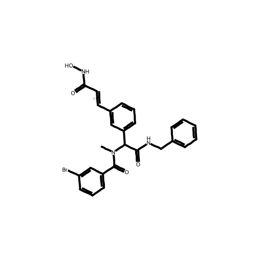 CN(C(=O)c1cccc(Br)c1)C(C(=O)NCc1ccccc1)c1cccc(/C=C/C(=O)NO)c1